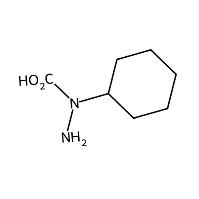 NN(C(=O)O)C1CCCCC1